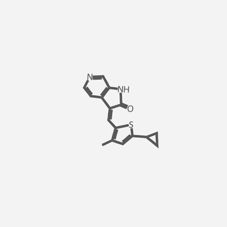 Cc1cc(C2CC2)sc1C=C1C(=O)Nc2cnccc21